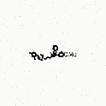 COc1ccc(-c2cc(CCCN3CCN(c4ccc(C)cc4C)CC3)nn2-c2ccccc2)cc1